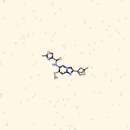 Cc1nc(C(=O)Nc2cn3cc(C45COC(C)(C4)C5)nc3cc2OC(C)C)co1